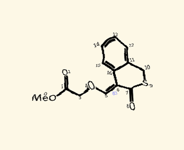 COC(=O)CO/C=C1/C(=O)SCc2ccccc21